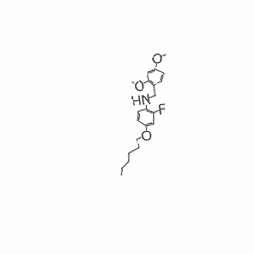 CCCCCCOc1ccc(NCc2ccc(OC)cc2OC)c(F)c1